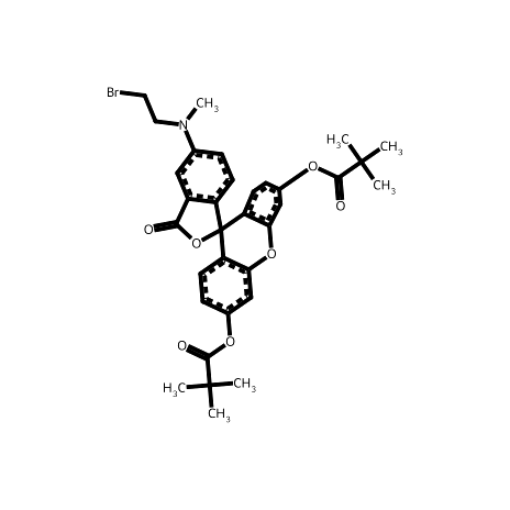 CN(CCBr)c1ccc2c(c1)C(=O)OC21c2ccc(OC(=O)C(C)(C)C)cc2Oc2cc(OC(=O)C(C)(C)C)ccc21